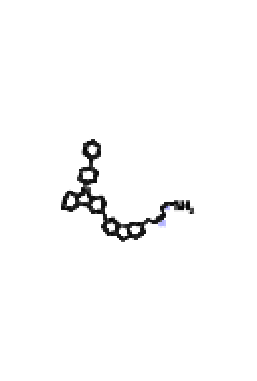 N/C=C\C=C/Cc1ccc2c(c1)-c1cc(-c3ccc4c(c3)c3ccccc3n4-c3ccc(-c4ccccc4)cc3)ccc1C2